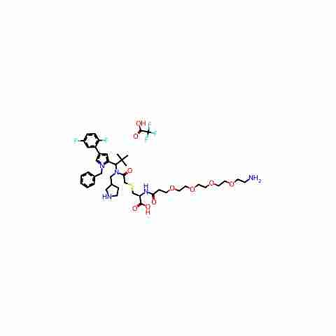 CC(C)(C)C(c1cc(-c2cc(F)ccc2F)cn1Cc1ccccc1)N(CC1CCNC1)C(=O)CSCC(NC(=O)CCOCCOCCOCCOCCN)C(=O)O.O=C(O)C(F)(F)F